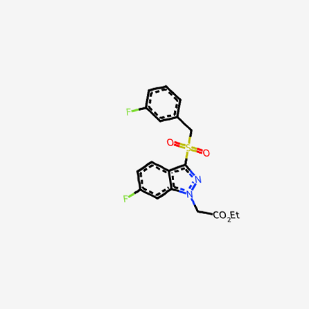 CCOC(=O)Cn1nc(S(=O)(=O)Cc2cccc(F)c2)c2ccc(F)cc21